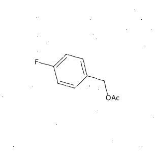 CC(=O)OCc1ccc(F)cc1